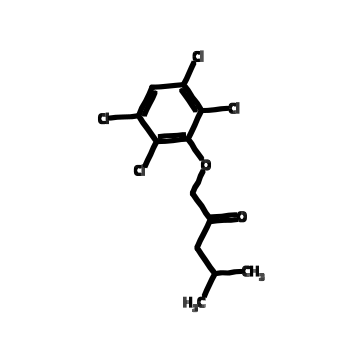 CC(C)CC(=O)COc1c(Cl)c(Cl)cc(Cl)c1Cl